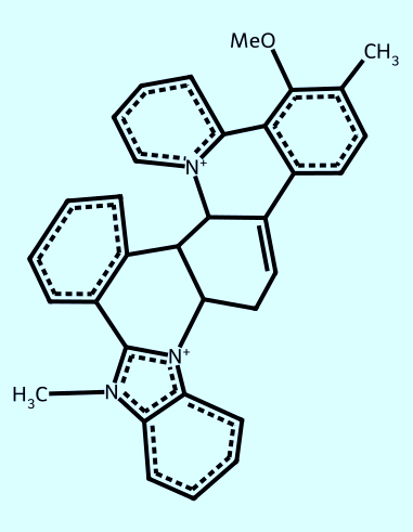 COc1c(C)ccc2c1-c1cccc[n+]1C1C2=CCC2C1c1ccccc1-c1n(C)c3ccccc3[n+]12